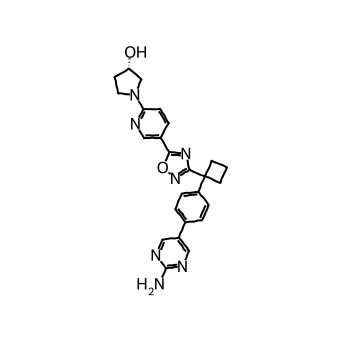 Nc1ncc(-c2ccc(C3(c4noc(-c5ccc(N6CC[C@H](O)C6)nc5)n4)CCC3)cc2)cn1